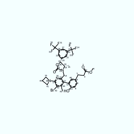 COC(=O)CCc1ccc(O)c(-c2c(CN3C(=O)O[C@H](c4cc(C(F)(F)F)cc(C(F)(F)F)c4)[C@@H]3C)nc(N3CCC3)c(Br)c2C)c1